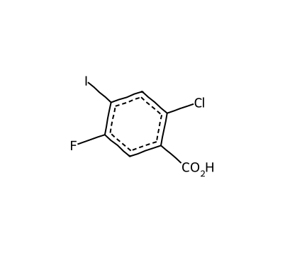 O=C(O)c1cc(F)c(I)cc1Cl